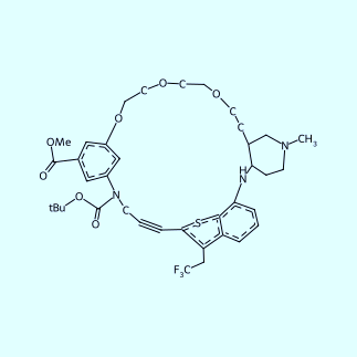 COC(=O)c1cc2cc(c1)N(C(=O)OC(C)(C)C)CC#Cc1sc3c(cccc3c1CC(F)(F)F)NC1CCN(C)CC1CCOCCOCCO2